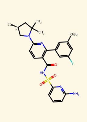 CC[C@@H]1CN(c2ccc(C(=O)NS(=O)(=O)c3cccc(N)n3)c(-c3cc(F)cc(OCC(C)C)c3)n2)C(C)(C)C1